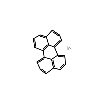 [Ir].c1cc2cccc3c4cccc5cccc(c(c1)c23)c54